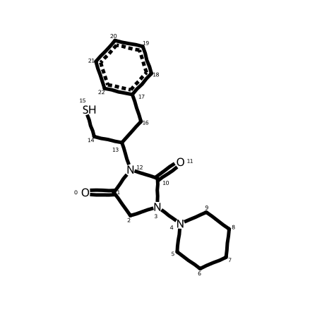 O=C1CN(N2CCCCC2)C(=O)N1C(CS)Cc1ccccc1